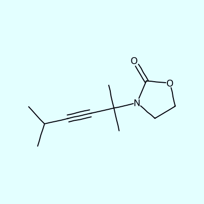 CC(C)C#CC(C)(C)N1CCOC1=O